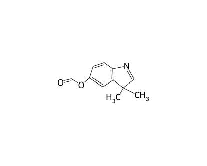 CC1(C)C=Nc2ccc(OC=O)cc21